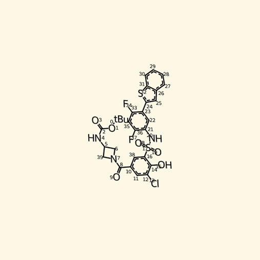 CC(C)(C)OC(=O)NC1CN(C(=O)c2cc(Cl)c(O)c(S(=O)(=O)Nc3cc(-c4cc5ccccc5s4)c(F)cc3F)c2)C1